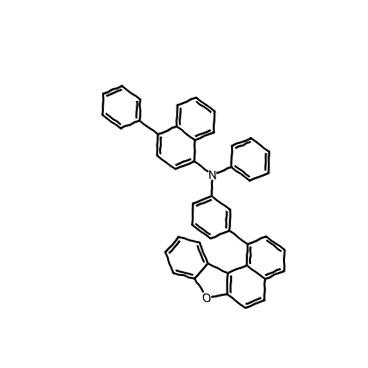 c1ccc(-c2ccc(N(c3ccccc3)c3cccc(-c4cccc5ccc6oc7ccccc7c6c45)c3)c3ccccc23)cc1